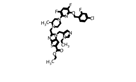 CCOC(=O)c1cc2c(nc(CN3CCN(c4nc(OCc5ccc(Cl)cc5F)c(F)cc4F)C[C@@H]3C)n2Cc2cncn2CC)s1